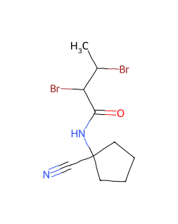 CC(Br)C(Br)C(=O)NC1(C#N)CCCC1